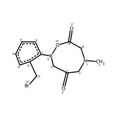 CN1CC(=O)CB(c2ccccc2CBr)OC(=O)C1